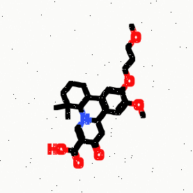 COCCCOc1cc2c(cc1OC)C1CC(=O)C(C(=O)O)=CN1C1C2CCCC1(C)C